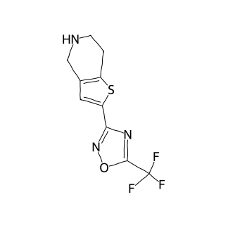 FC(F)(F)c1nc(-c2cc3c(s2)CCNC3)no1